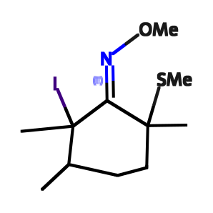 CO/N=C1\C(C)(SC)CCC(C)C1(C)I